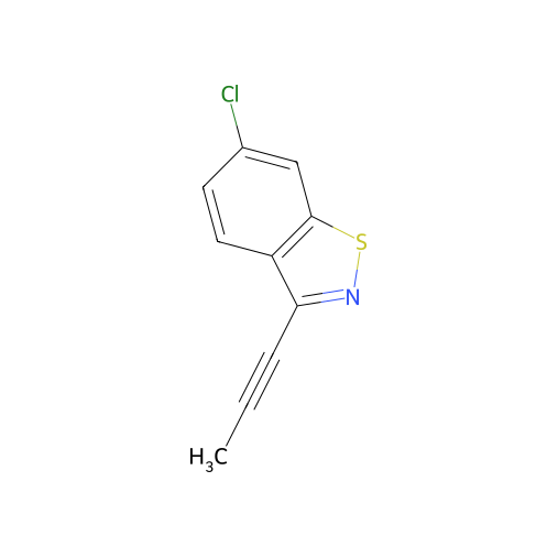 CC#Cc1nsc2cc(Cl)ccc12